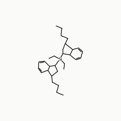 CCCCC1CC([Si](CC)(CC)C2CC(CCCC)C3C=CC=CC32)C2C=CC=CC12